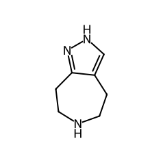 c1[nH]nc2c1CCNCC2